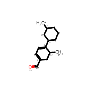 CC1CCCC(C2=CC=C(C=O)CC2C)C1